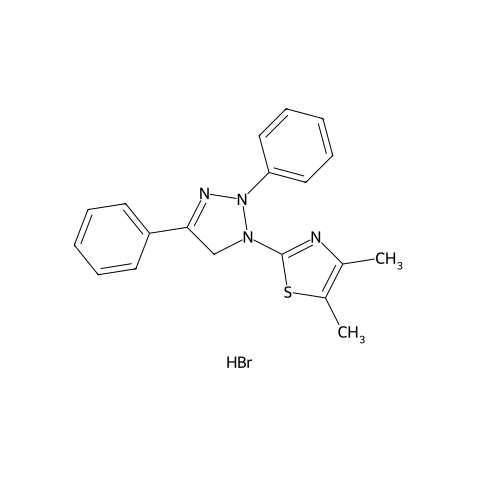 Br.Cc1nc(N2CC(c3ccccc3)=NN2c2ccccc2)sc1C